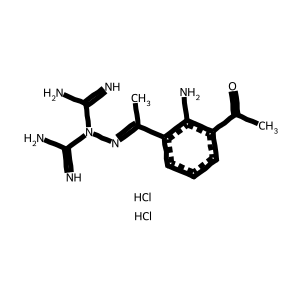 CC(=O)c1cccc(C(C)=NN(C(=N)N)C(=N)N)c1N.Cl.Cl